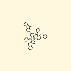 CC1(C)c2ccccc2-c2ccc(-c3cc4c5c(c3)N(c3ccccc3)c3c(ccc6c3ccc3ccccc36)B5c3ccc5c(ccc6ccccc65)c3N4c3ccccc3)cc21